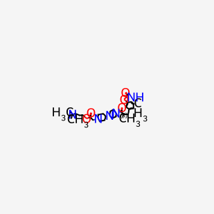 Cc1cc(C[C@@H](C)C(=O)N2CCN(C3CCN(CC(=O)OCCCN(C)C)CC3)CC2)cc2oc(=O)[nH]c12